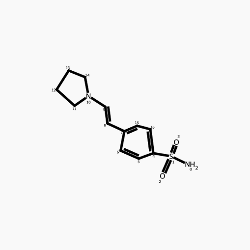 NS(=O)(=O)c1ccc(/C=C/N2CCCC2)cc1